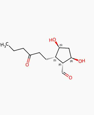 CCCC(=O)CC[C@H]1[C@@H](C=O)[C@H](O)C[C@@H]1O